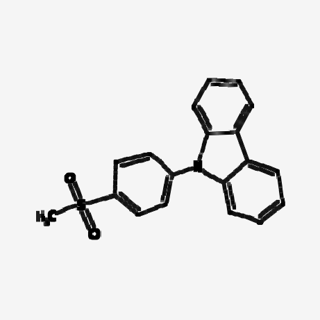 CS(=O)(=O)c1ccc(-n2c3ccccc3c3ccccc32)cc1